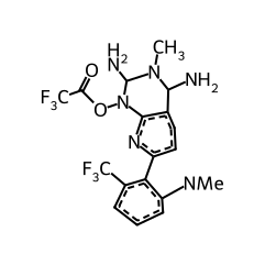 CNc1cccc(C(F)(F)F)c1-c1ccc2c(n1)N(OC(=O)C(F)(F)F)C(N)N(C)C2N